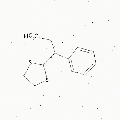 O=C(O)CC(c1ccccc1)C1SCCS1